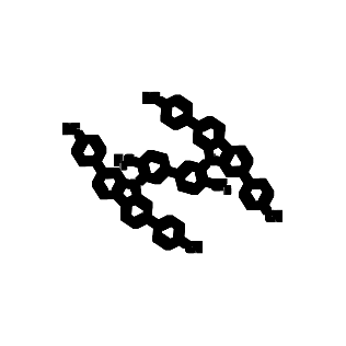 N#Cc1ccc(-c2ccc3c4ccc(-c5ccc(C#N)cc5)cc4n(-c4cc(-c5ccc(C(F)(F)F)c(-n6c7cc(-c8ccc(C#N)cc8)ccc7c7ccc(-c8ccc(C#N)cc8)cc76)c5)ccc4C(F)(F)F)c3c2)cc1